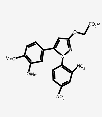 COc1ccc(-c2cc(OCC(=O)O)nn2-c2ccc([N+](=O)[O-])cc2[N+](=O)[O-])cc1OC